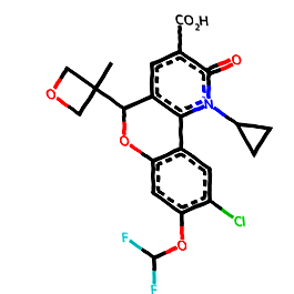 CC1(C2Oc3cc(OC(F)F)c(Cl)cc3-c3c2cc(C(=O)O)c(=O)n3C2CC2)COC1